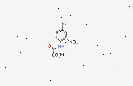 CCOC(=O)C(=O)Nc1ccc(CC)cc1[N+](=O)[O-]